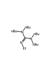 CCCCN(CCCC)C(=NCC)N(CCCC)CCCC